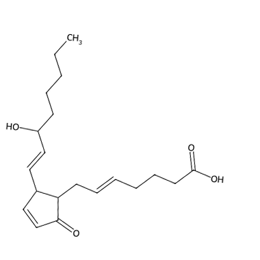 CCCCCC(O)C=CC1C=CC(=O)C1CC=CCCCC(=O)O